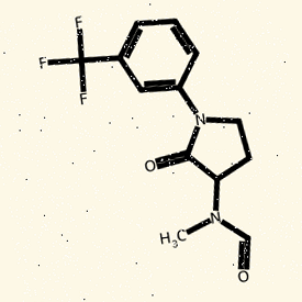 CN(C=O)C1CCN(c2cccc(C(F)(F)F)c2)C1=O